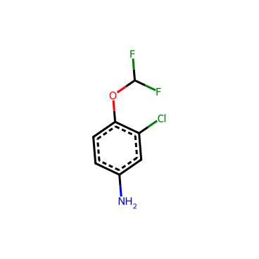 Nc1ccc(OC(F)F)c(Cl)c1